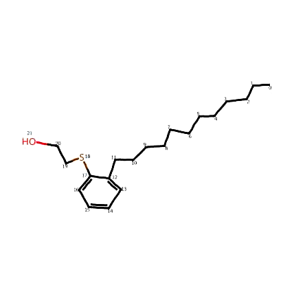 CCCCCCCCCCCCc1ccccc1SCCO